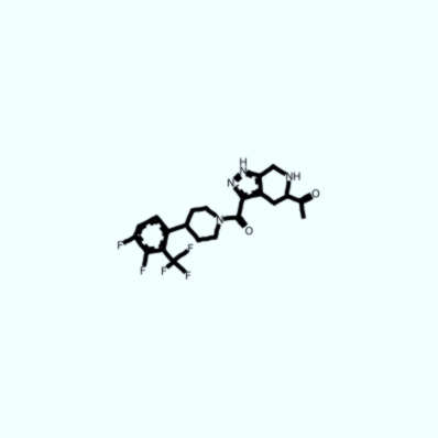 CC(=O)C1Cc2c(C(=O)N3CCC(c4ccc(F)c(F)c4C(F)(F)F)CC3)n[nH]c2CN1